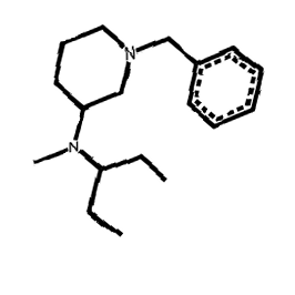 CCC(CC)N(C)C1CCCN(Cc2ccccc2)C1